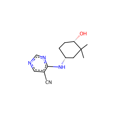 CC1(C)C[C@H](Nc2ncncc2C#N)CC[C@@H]1O